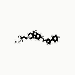 CC(C)(C)OC(=O)CCN1CCC2(CC1)COc1cc(OCc3cc(-c4ccccc4)cs3)ccc12